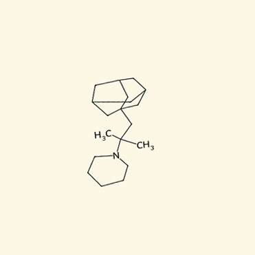 CC(C)(CC12CC3CC(CC(C3)C1)C2)N1CCCCC1